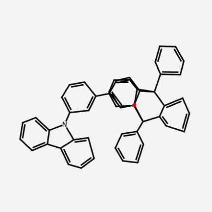 C1=CC2C(C=C1)C1(c3ccccc3)c3ccccc3C2(c2ccccc2)C2C=CC(c3cccc(-n4c5ccccc5c5ccccc54)c3)=CC21